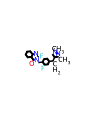 C=C(c1cc(F)c(Cn2cnc3ccccc3c2=O)c(F)c1)c1cn(C)nc1C